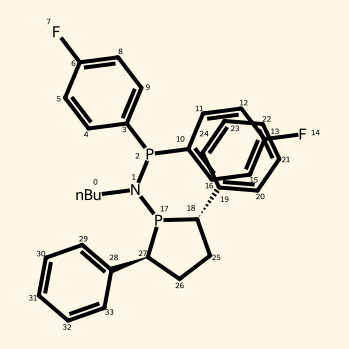 CCCCN(P(c1ccc(F)cc1)c1ccc(F)cc1)P1[C@H](c2ccccc2)CC[C@H]1c1ccccc1